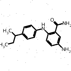 CCC(C)c1ccc(Nc2ccc(N)cc2C(N)=O)cc1